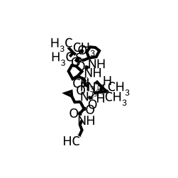 C#CCCNC(=O)C(=O)C(CC1CC1)NC(=O)[C@@H]1[C@@H]2[C@H](CN1C(=O)[C@@H](NC(=O)NC1(CS(=O)(=O)C(C)(C)CC)CCCCC1)C1(C)CCCCC1)C2(C)C